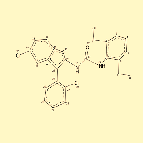 CCc1cccc(CC)c1NC(=O)Nc1sc2ccc(Cl)cc2c1-c1ccccc1Cl